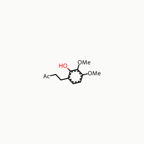 COc1ccc(CCC(C)=O)c(O)c1OC